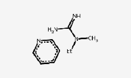 CCN(C)C(=N)N.c1ccncc1